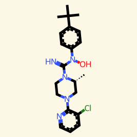 C[C@@H]1CN(c2ncccc2Cl)CCN1C(=N)N(O)c1ccc(C(C)(C)C)cc1